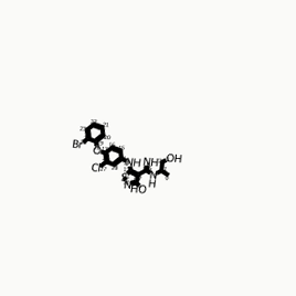 CC(CO)NC(=N)c1c(O)nsc1Nc1ccc(Oc2ccccc2Br)c(Cl)c1